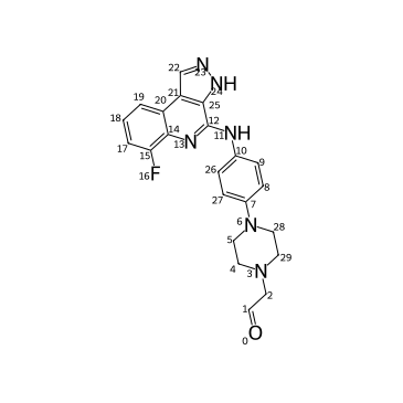 O=CCN1CCN(c2ccc(Nc3nc4c(F)cccc4c4cn[nH]c34)cc2)CC1